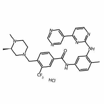 Cc1ccc(NC(=O)c2ccc(CN3CCN(C)[C@H](C)C3)c(C(F)(F)F)c2)cc1Nc1nccc(-c2cncnc2)n1.Cl